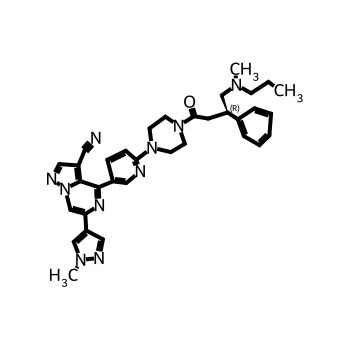 CCCN(C)C[C@H](CC(=O)N1CCN(c2ccc(-c3nc(-c4cnn(C)c4)cn4ncc(C#N)c34)cn2)CC1)c1ccccc1